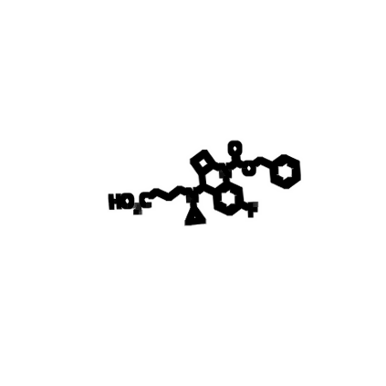 O=C(O)CCCN(C1CC1)C1c2ccc(F)cc2N(C(=O)OCc2ccccc2)C2CCC21